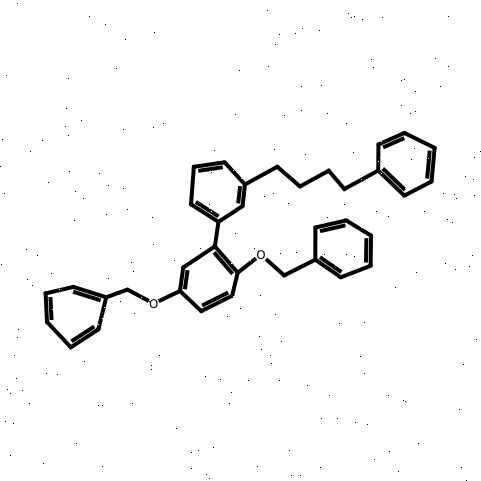 c1ccc(CCCCc2cccc(-c3cc(OCc4ccccc4)ccc3OCc3ccccc3)c2)cc1